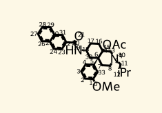 COc1cccc([C@]23CC[N@@+](C)(CC(C)C)CC2(OC(C)=O)CC[C@H](NC(=O)c2ccc4ccccc4c2)C3)c1